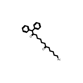 CC(=O)CCCCCC(=O)CCCCCC(=O)C(c1ccccc1)c1ccccc1